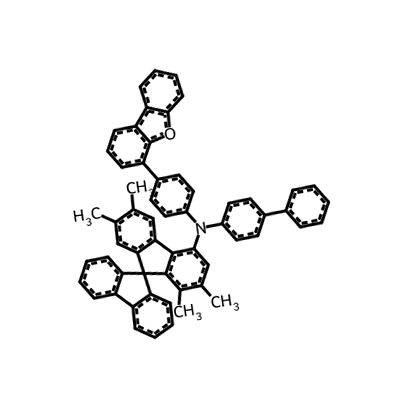 Cc1cc2c(cc1C)C1(c3ccccc3-c3ccccc31)c1c(C)c(C)cc(N(c3ccc(-c4ccccc4)cc3)c3ccc(-c4cccc5c4oc4ccccc45)cc3)c1-2